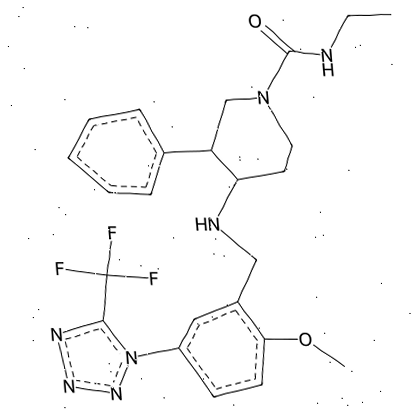 CCNC(=O)N1CCC(NCc2cc(-n3nnnc3C(F)(F)F)ccc2OC)C(c2ccccc2)C1